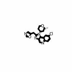 C[C@@H]1C[C@H](n2c(Cc3cnco3)nc3cnc4ccc(Cl)cc4c32)CCO1